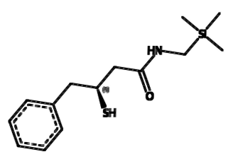 C[Si](C)(C)CNC(=O)C[C@@H](S)Cc1ccccc1